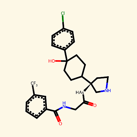 O=C(CNC(=O)c1cccc(C(F)(F)F)c1)[AsH][C@@]1(C2CCC(O)(c3ccc(Cl)cc3)CC2)CCNC1